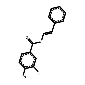 N#Cc1ccc(C(=O)O/C=C/c2ccccc2)cc1Cl